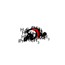 CO[C@H]1/C=C/OC2(C)Oc3c(C)c(O)c4c(c3C2=O)C2=NC3(CCN(CC(C)C)CC3)NC2=C(NC(=O)/C(C)=C\C=C\[C@H](C)[C@H](O)[C@@H](C)[C@@H](O)[C@@H](C)[C@H](ON2CCC(N(C)c3ccccc3)CC2)[C@@H]1C)C4=O